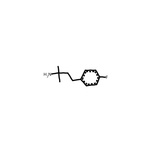 CC(C)(N)CCc1ccc(F)cc1